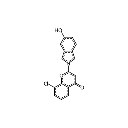 O=c1cc(-n2cc3ccc(O)cc3c2)oc2c(Cl)cccc12